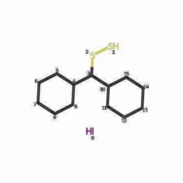 I.SSC(C1CCCCC1)C1CCCCC1